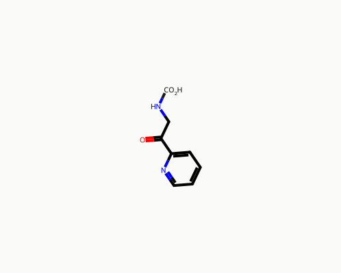 O=C(O)NCC(=O)c1ccccn1